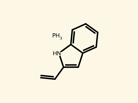 C=Cc1cc2ccccc2[nH]1.P